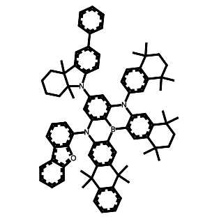 CC1(C)CCC(C)(C)c2cc(N3c4cc5c(cc4B4c6cc7c(cc6N(c6cccc8c6oc6ccccc68)c6cc(N8c9ccc(-c%10ccccc%10)cc9C9(C)CCCCC89C)cc3c64)C(C)(C)c3ccccc3C7(C)C)C(C)(C)CCC5(C)C)ccc21